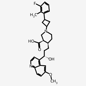 COc1ccc2nccc([C@@H](O)CC[C@@H]3CCN(C4CC(c5cccc(F)c5C)C4)C[C@@H]3C(=O)O)c2c1